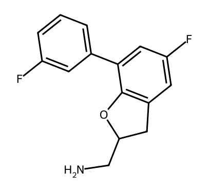 NCC1Cc2cc(F)cc(-c3cccc(F)c3)c2O1